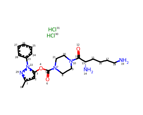 Cc1cc(OC(=O)N2CCN(C(=O)[C@@H](N)CCCCN)CC2)n(-c2ccccc2)n1.Cl.Cl